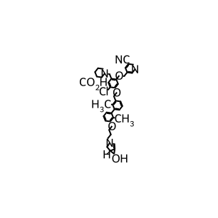 Cc1c(COc2cc(OCc3cncc(C#N)c3)c(CN3CCCC[C@H]3C(=O)O)cc2Cl)cccc1-c1cccc(OCCCN2C=C3C(O)[C@@H]3C2)c1C